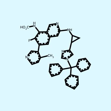 Cc1ccncc1-c1cc2cc(NC3CC3c3cn(C(c4ccccc4)(c4ccccc4)c4ccccc4)cn3)ncc2c(NC(=O)O)c1F